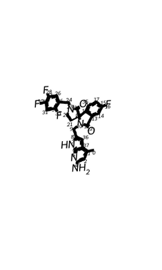 Cc1cc(N)nc2[nH]c(CN3C(=O)c4cc(F)ccc4[C@]34CCN(Cc3cc(F)c(F)cc3F)C4=O)cc12